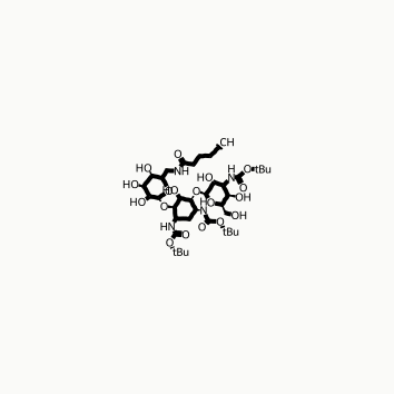 C#CCCCC(=O)NCC1O[C@H](O[C@@H]2C(NC(=O)OC(C)(C)C)C[C@@H](NC(=O)OC(C)(C)C)[C@@H](O[C@@H]3O[C@H](CO)[C@H](O)C(NC(=O)OC(C)(C)C)C3O)C2O)C(O)[C@@H](O)[C@@H]1O